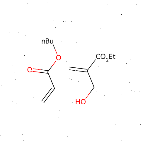 C=C(CO)C(=O)OCC.C=CC(=O)OCCCC